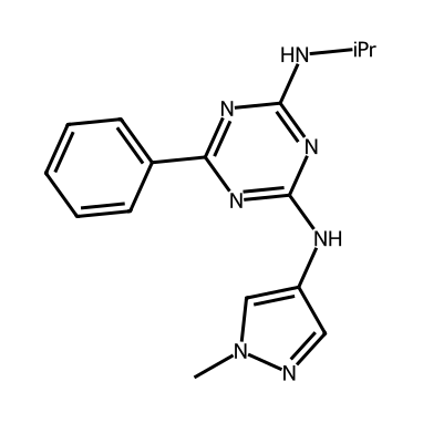 CC(C)Nc1nc(Nc2cnn(C)c2)nc(-c2ccccc2)n1